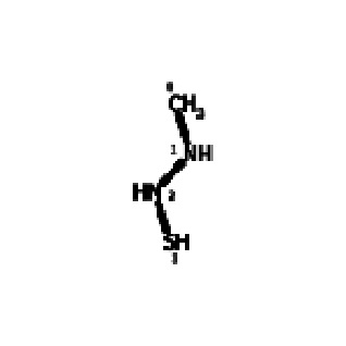 CNNS